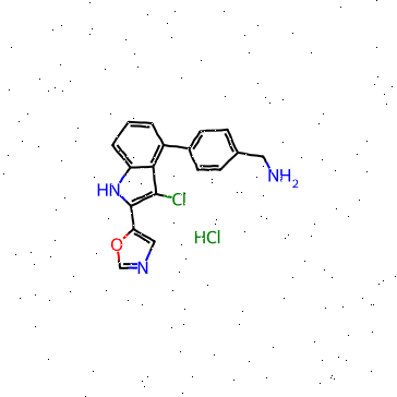 Cl.NCc1ccc(-c2cccc3[nH]c(-c4cnco4)c(Cl)c23)cc1